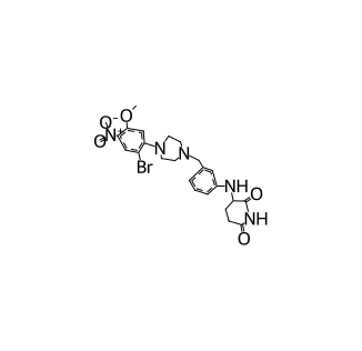 COc1cc(N2CCN(Cc3cccc(NC4CCC(=O)NC4=O)c3)CC2)c(Br)cc1[N+](=O)[O-]